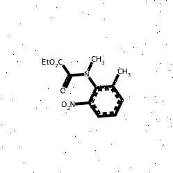 CCOC(=O)C(=O)N(C)c1c(C)cccc1[N+](=O)[O-]